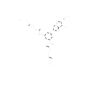 COC(=O)CCC(=O)Nc1cc(NC(=O)CCC(=O)OC)cc(-c2nn3nc(C(C)(C)C)c(Cl)c3[nH]2)c1